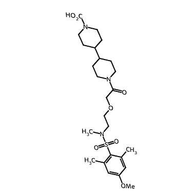 COc1cc(C)c(S(=O)(=O)N(C)CCOCC(=O)N2CCC(C3CCN(C(=O)O)CC3)CC2)c(C)c1